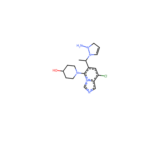 CC(c1cc(Cl)c2cncn2c1N1CCC(O)CC1)N1C=CCN1N